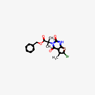 Cc1c(Br)sc2[nH]c(=O)n(C(C)(C)C(=O)OCc3ccccc3)c(=O)c12